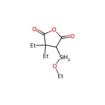 CCO[SiH2]C1C(=O)OC(=O)C1(CC)CC